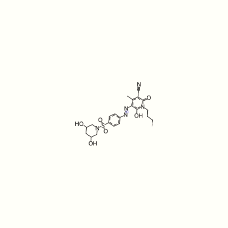 CCCCn1c(O)c(/N=N/c2ccc(S(=O)(=O)N3CC(O)CC(O)C3)cc2)c(C)c(C#N)c1=O